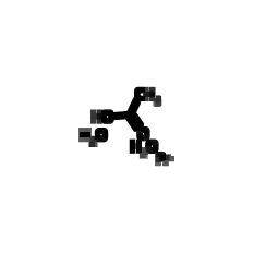 CC(=O)O.O.O.[Pr]